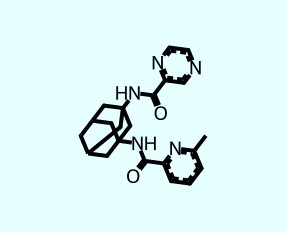 Cc1cccc(C(=O)NC23CC4CC(CC(NC(=O)c5cnccn5)(C4)C2)C3)n1